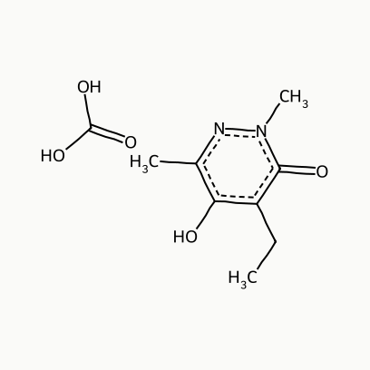 CCc1c(O)c(C)nn(C)c1=O.O=C(O)O